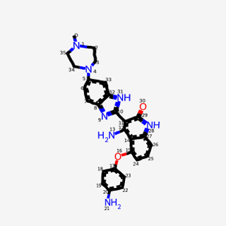 CN1CCN(c2ccc3nc(-c4c(N)c5c(Oc6ccc(N)cc6)cccc5[nH]c4=O)[nH]c3c2)CC1